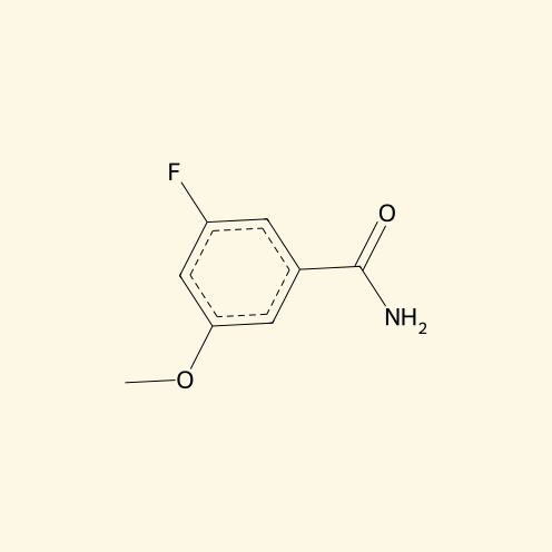 COc1cc(F)cc(C(N)=O)c1